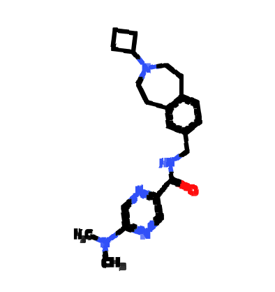 CN(C)c1cnc(C(=O)NCc2ccc3c(c2)CCN(C2CCC2)CC3)cn1